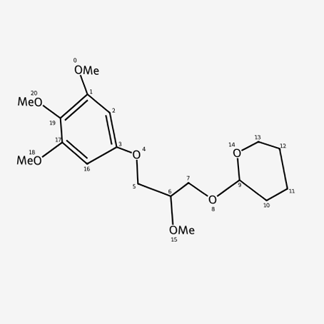 COc1cc(OCC(COC2CCCCO2)OC)cc(OC)c1OC